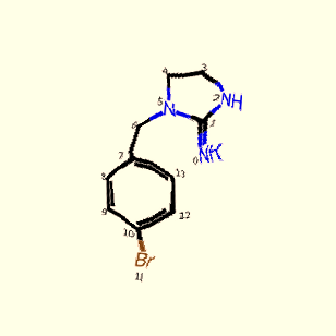 N=C1NCCN1Cc1ccc(Br)cc1